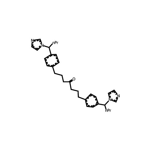 CCCC(c1ccc(CCCC(=O)CCCc2ccc(C(CCC)n3ccnc3)cc2)cc1)n1ccnc1